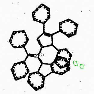 C1=[C]([Zr+2](=[C](c2ccccc2)c2ccccc2)[CH]2c3ccccc3-c3ccccc32)C(c2ccccc2)C(c2ccccc2)=C1c1ccccc1.[Cl-].[Cl-]